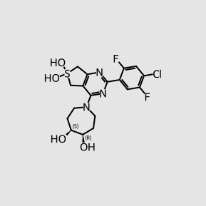 O[C@@H]1CCN(c2nc(-c3cc(F)c(Cl)cc3F)nc3c2CS(O)(O)C3)CC[C@@H]1O